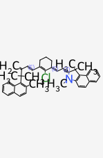 C=C(/C=C/C1=C(Cl)C(=C/C=C2\N(C)c3ccc4ccccc4c3C2(C)C)/CCC1)C(C)(C)c1c(C)ccc2ccccc12